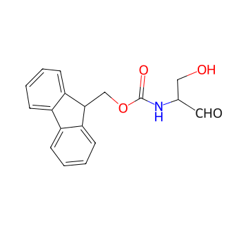 O=CC(CO)NC(=O)OCC1c2ccccc2-c2ccccc21